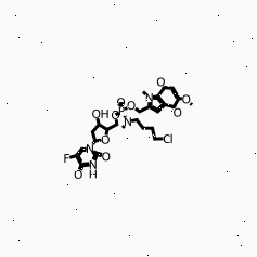 COC1=CC(=O)c2c(cc(COP(=O)(OCC3OC(n4cc(F)c(=O)[nH]c4=O)CC3O)N(C)CCCCCl)n2C)C1=O